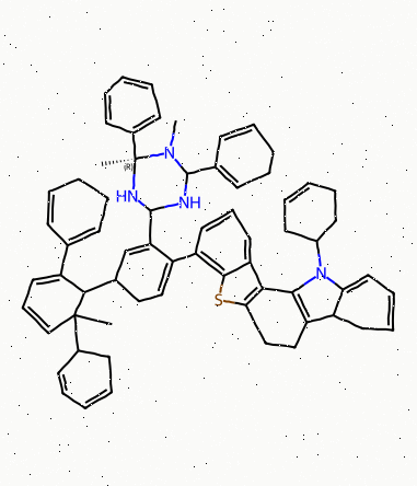 CN1C(C2=CCCC=C2)NC(C2=CC(C3C(C4=CCCC=C4)=CC=CC3(C)C3C=CC=CC3)CC=C2c2cccc3c4c(sc23)CCC2=C4N(C3CC=CCC3)C3=CC=CCC32)N[C@@]1(C)c1ccccc1